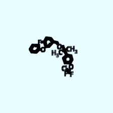 CC(C)(COCc1ccc(F)c(Oc2ccccc2)c1)c1ccc(OC(F)(F)Cl)cc1